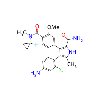 COc1cc(-c2c(C(N)=O)[nH]c(C)c2-c2ccc(N)cc2Cl)ccc1C(=O)N(C)C1(F)CC1